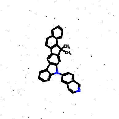 CC1(C)c2cc3c(cc2-c2ccc4ccccc4c21)c1ccccc1n3-c1ccc2cnccc2c1